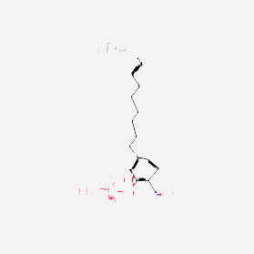 CCCCCCCCCC/C=C/CCCCCCc1ccc(I=O)c(OP(=O)(O)O)c1